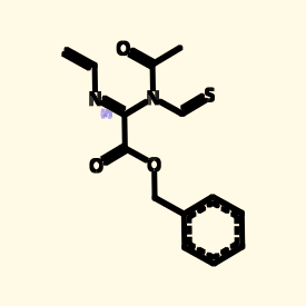 C=C/N=C(/C(=O)OCc1ccccc1)N(C=S)C(C)=O